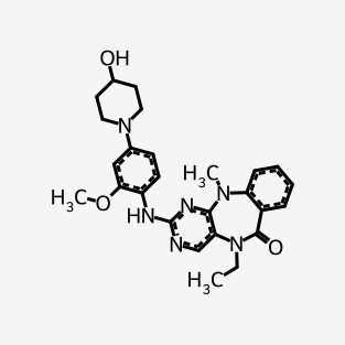 CCN1C(=O)c2ccccc2N(C)c2nc(Nc3ccc(N4CCC(O)CC4)cc3OC)ncc21